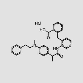 CC(C(=O)Nc1ccccc1Cc1ccccc1C(=O)O)c1ccc(N(C)CCc2ccccc2)cc1.Cl